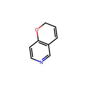 C1=Cc2cnccc2OC1